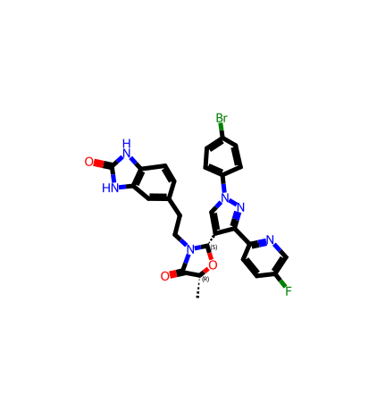 C[C@H]1O[C@@H](c2cn(-c3ccc(Br)cc3)nc2-c2ccc(F)cn2)N(CCc2ccc3[nH]c(=O)[nH]c3c2)C1=O